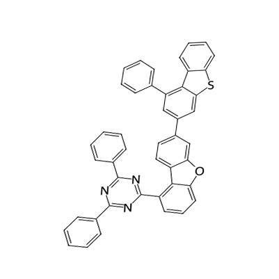 c1ccc(-c2nc(-c3ccccc3)nc(-c3cccc4oc5cc(-c6cc(-c7ccccc7)c7c(c6)sc6ccccc67)ccc5c34)n2)cc1